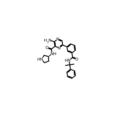 CC(C)(NC(=O)c1cccc(-c2cnc(N)c(C(=O)N[C@H]3CCNC3)n2)c1)c1ccccc1